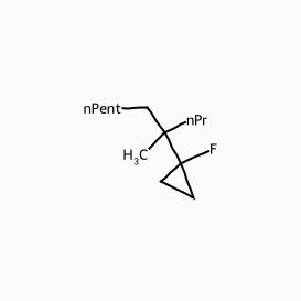 CCCCCCC(C)(CCC)C1(F)CC1